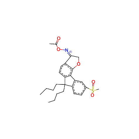 CCCCC1(CCCC)c2ccc(S(C)(=O)=O)cc2-c2c1ccc1c2OC/C1=N/OC(C)=O